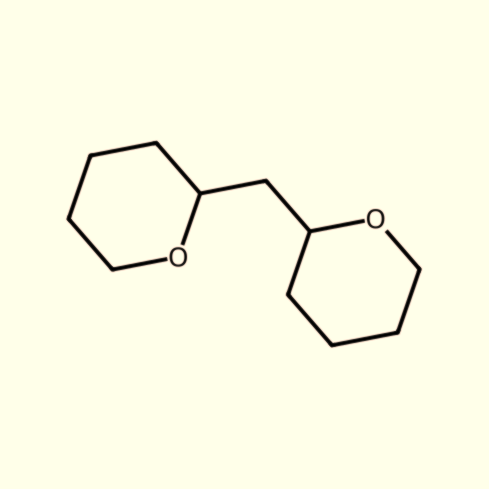 C1CCC(CC2CCCCO2)OC1